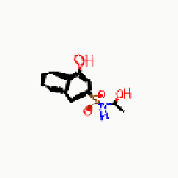 CC(O)NS(=O)(=O)c1cc(O)c2ccccc2c1